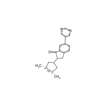 C[C@@H]1CC(C2Cc3ccc(-c4cncnc4)cc3C2=O)C[C@H](C)O1